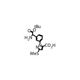 CSc1cc(C(=O)O)n(-c2cccc(C(N)C(=O)OC(C)(C)C)c2)n1